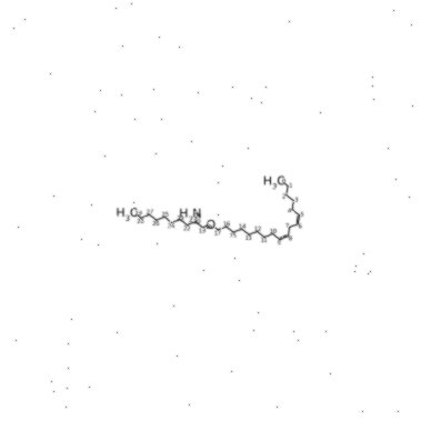 CCCCC/C=C\C/C=C\CCCCCCCCOC[C@@H](N)CCCCCCCC